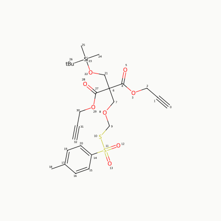 C#CCOC(=O)C(COCSS(=O)(=O)c1ccc(C)cc1)(CO[Si](C)(C)C(C)(C)C)C(=O)OCC#C